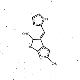 Cc1cc2c(s1)NC(C=O)/C2=C\c1ccc[nH]1